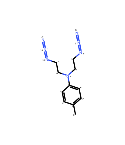 Cc1ccc(N(CCN=[N+]=[N-])CCN=[N+]=[N-])cc1